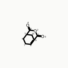 O=C1OC(=O)C2CCC=C1C2